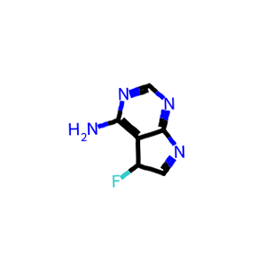 Nc1ncnc2c1C(F)C=N2